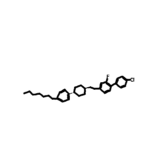 CCCCCCCc1ccc([C@H]2CC[C@H](CCc3ccc(-c4ccc(Cl)cc4)c(F)c3)CC2)cc1